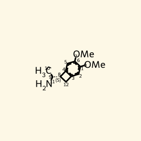 COc1cc2c(cc1OC)[C@@H](C(C)N)C2